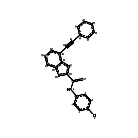 O=C(Nc1ccc(Cl)cc1)c1cc2c(C#Cc3ccccc3)cncc2s1